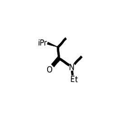 CCN(C)C(=O)[C@H](C)C(C)C